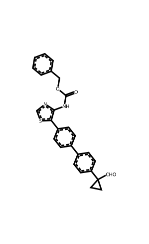 O=CC1(c2ccc(-c3ccc(-c4scnc4NC(=O)OCc4ccccc4)cc3)cc2)CC1